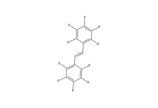 Fc1c(F)c(F)c(/C=C/c2c(F)c(F)c(F)c(F)c2F)c(F)c1F